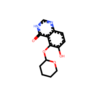 O=c1[nH]cnc2ccc(O)c(OC3CCCCO3)c12